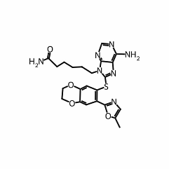 Cc1cnc(-c2cc3c(cc2Sc2nc4c(N)ncnc4n2CCCCCC(N)=O)OCCO3)o1